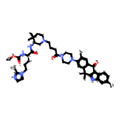 CCc1cc2c(cc1N1CCN(C(=O)CCCN3CCC(C)(C)[C@H](NC(=O)[C@H](CCCn4ccnc4[N+](=O)[O-])NC(=O)OC(C)(C)C)C3)CC1)C(C)(C)c1[nH]c3cc(C#N)ccc3c1C2=O